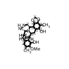 COc1c(C)cc2c(c1O)[C@@H]1C3Cc4c(O)c(C)c5c(c4[C@H](CN)N3[C@@H](C#N)[C@H](C2)N1C)OCO5